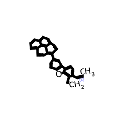 C=Cc1c(/C=C\C)ccc2c1oc1ccc(-c3ccc4ccc5cccc6ccc3c4c56)cc12